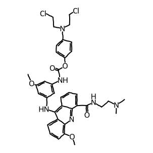 COc1cc(NC(=O)Oc2ccc(N(CCCl)CCCl)cc2)cc(Nc2c3cccc(OC)c3nc3c(C(=O)NCCN(C)C)cccc23)c1